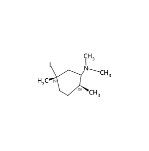 C[C@H]1CC[C@](C)(I)CC1N(C)C